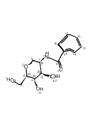 O=C(N[C@@H]1CO[C@H](CO)[C@H](O)[C@@H]1O)c1ccccc1